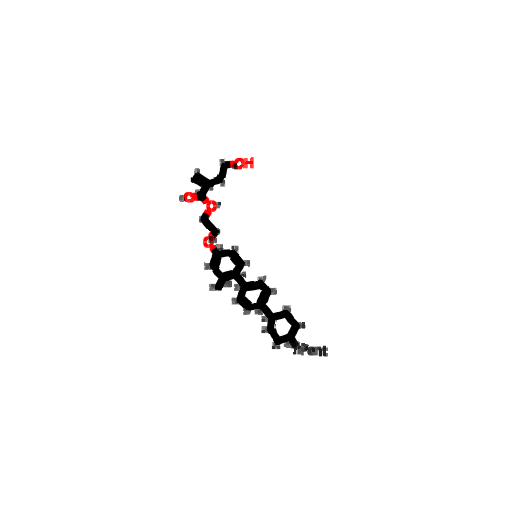 C=C(CCO)C(=O)OCCOc1ccc(-c2ccc(C3CCC(CCCCC)CC3)cc2)c(C)c1